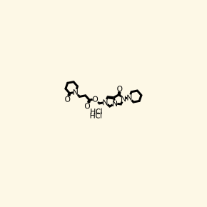 Cl.Cl.O=C(CCN1CCCCC1=O)OCN1C=C2C(=O)N(N3CCCCC3)CN2C1